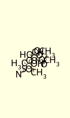 CCC1O[C@@H](SCC#N)[C@@H](C)C(O[C@@H]2OC(COC(C)=O)[C@H](OC(C)=O)C(C)C2O)[C@@H]1O